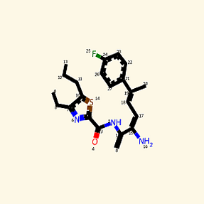 C=C(NC(=O)c1nc(CC)c(CCC)s1)/C(N)=C\C=C(/C)c1ccc(F)cc1